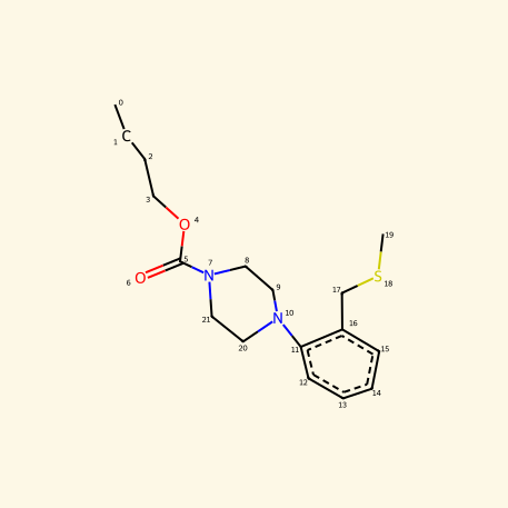 CCCCOC(=O)N1CCN(c2ccccc2CSC)CC1